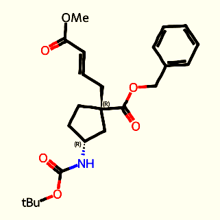 COC(=O)C=CC[C@]1(C(=O)OCc2ccccc2)CC[C@@H](NC(=O)OC(C)(C)C)C1